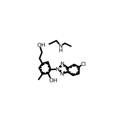 CCNCC.Cc1cc(CCO)cc(-n2nc3ccc(Cl)cc3n2)c1O